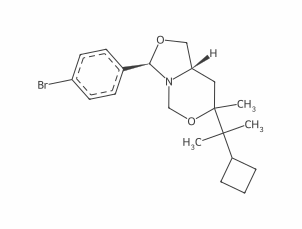 CC1(C(C)(C)C2CCC2)C[C@H]2CO[C@H](c3ccc(Br)cc3)N2CO1